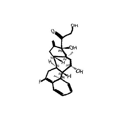 C=C1C[C@H]2[C@@H]3CC(F)=C4C=CC=C[C@]4(C)[C@H]3[C@@H](O)C[C@]2(C)[C@@]1(O)C(=O)CO